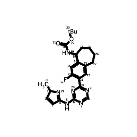 CC1C=CC(Nc2ncnc(-c3cc4c(cc3F)C(NC(=O)OC(C)(C)C)CCCC4)n2)=N1